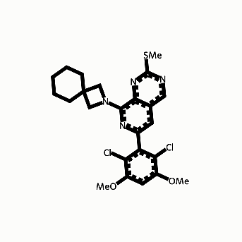 COc1cc(OC)c(Cl)c(-c2cc3cnc(SC)nc3c(N3CC4(CCCCC4)C3)n2)c1Cl